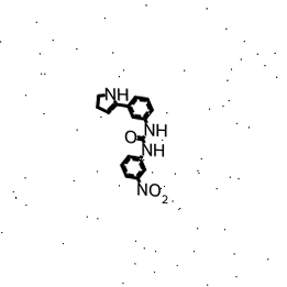 O=C(Nc1cccc(C2=CCCN2)c1)Nc1cccc([N+](=O)[O-])c1